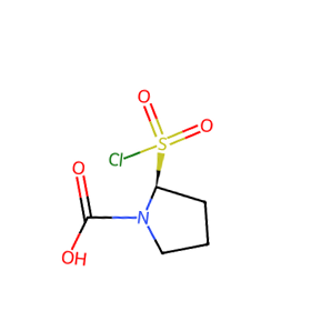 O=C(O)N1CCC[C@@H]1S(=O)(=O)Cl